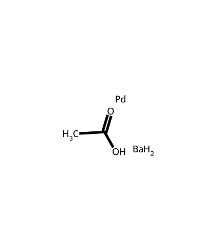 CC(=O)O.[BaH2].[Pd]